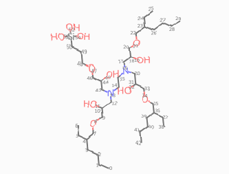 CCCCC(CC)COCC(O)CN(CCN(CC(O)COCC(CC)CCCC)CC(O)COCC(CC)CCCC)CC(O)COCCC[Si](O)(O)O